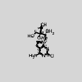 B[C@H](Cn1ccc2c(N)nc(Cl)nc21)[C@@](C#C)(CO)OC